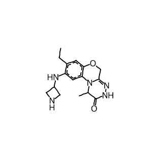 CCc1cc2c(cc1NC1CNC1)N1C(=NNC(=O)C1C)CO2